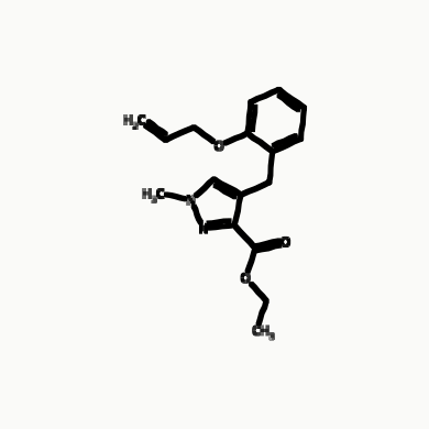 C=CCOc1ccccc1Cc1cn(C)nc1C(=O)OCC